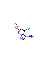 CCOc1cc(Br)c2c(C#N)cnn2c1